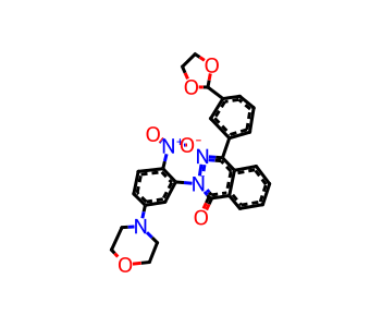 O=c1c2ccccc2c(-c2cccc(C3OCCO3)c2)nn1-c1cc(N2CCOCC2)ccc1[N+](=O)[O-]